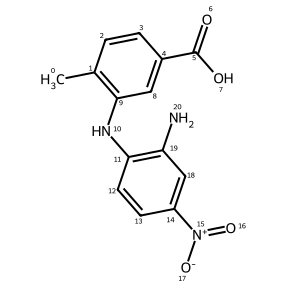 Cc1ccc(C(=O)O)cc1Nc1ccc([N+](=O)[O-])cc1N